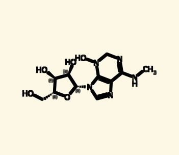 CNC1=NCN(O)c2c1ncn2[C@@H]1O[C@H](CO)[C@@H](O)[C@H]1O